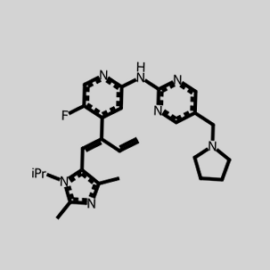 C=C/C(=C\c1c(C)nc(C)n1C(C)C)c1cc(Nc2ncc(CN3CCCC3)cn2)ncc1F